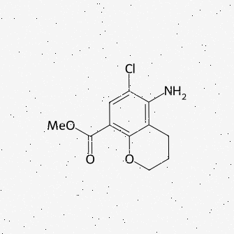 COC(=O)c1cc(Cl)c(N)c2c1OCCC2